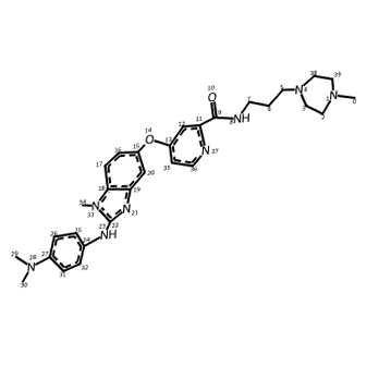 CN1CCN(CCCNC(=O)c2cc(Oc3ccc4c(c3)nc(Nc3ccc(N(C)C)cc3)n4C)ccn2)CC1